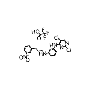 O=C(O)C(F)(F)F.O=[N+]([O-])c1cccc(CCCNc2cccc(Nc3nc(Cl)ncc3Cl)c2)c1